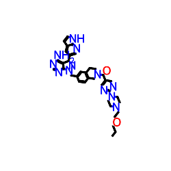 CCCOCCN1CCN(c2ncc(C(=O)N3CCc4cc(Cn5nc(-c6cnc7[nH]ccc7c6)c6c(N)ncnc65)ccc4C3)cn2)CC1